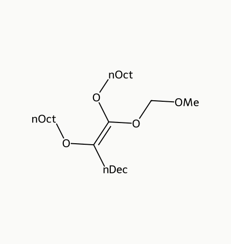 CCCCCCCCCCC(OCCCCCCCC)=C(OCCCCCCCC)OCOC